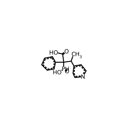 CC(c1ccncc1)C(C(=O)O)(c1ccccc1)[PH](=O)O